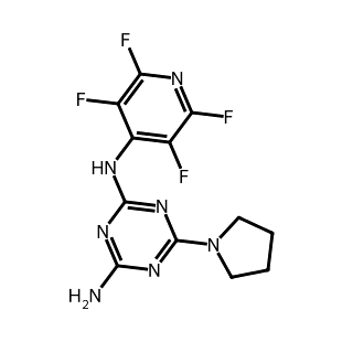 Nc1nc(Nc2c(F)c(F)nc(F)c2F)nc(N2CCCC2)n1